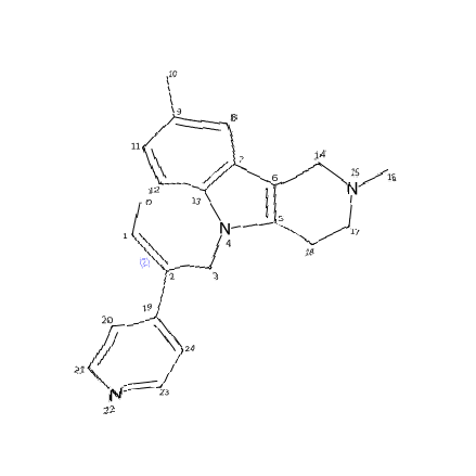 C/C=C(\Cn1c2c(c3cc(C)ccc31)CN(C)CC2)c1ccncc1